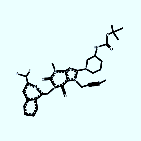 CC#CCn1c(N2CCCC(NC(=O)OC(C)(C)C)C2)nc2c1c(=O)n(Cc1nc(C(F)F)cc3ccccc13)c(=O)n2C